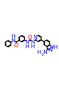 Nc1n[nH]c2ccc(-c3ccnc(NC(=O)Nc4cccc(C(=O)Nc5ccccc5)c4)c3)cc12